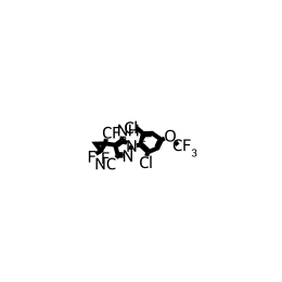 N#Cc1nn(-c2c(Cl)cc(OC(F)(F)F)cc2Cl)c(N)c1C1(C(F)(F)F)CC1(F)F